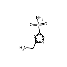 NCc1ncc(S(N)(=O)=O)s1